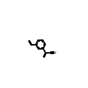 C=Cc1cccc(C(=C)C#N)c1